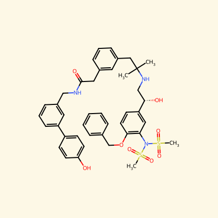 CC(C)(Cc1cccc(CC(=O)NCc2cccc(-c3ccc(O)cc3)c2)c1)NC[C@H](O)c1ccc(OCc2ccccc2)c(N(S(C)(=O)=O)S(C)(=O)=O)c1